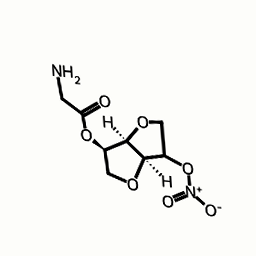 NCC(=O)O[C@@H]1CO[C@@H]2C(O[N+](=O)[O-])CO[C@@H]21